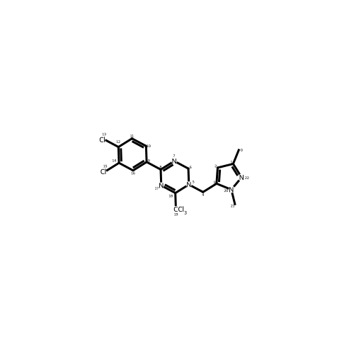 Cc1cc(CN2CN=C(c3ccc(Cl)c(Cl)c3)N=C2C(Cl)(Cl)Cl)n(C)n1